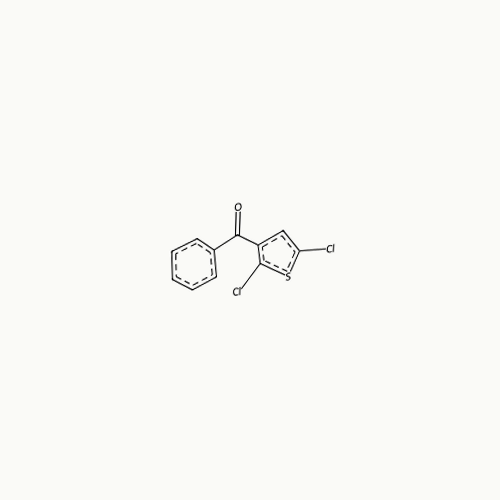 O=C(c1ccccc1)c1cc(Cl)sc1Cl